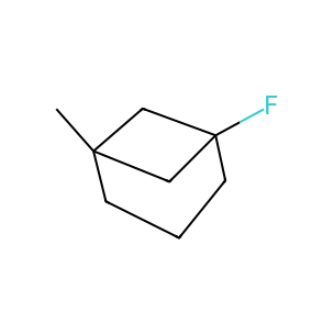 CC12CCCC(F)(C1)C2